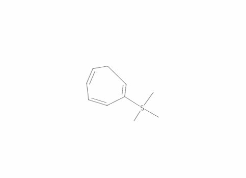 CS(C)(C)C1=CCC=CC=C1